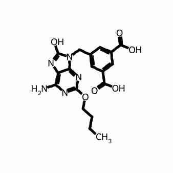 CCCCOc1nc(N)c2nc(O)n(Cc3cc(C(=O)O)cc(C(=O)O)c3)c2n1